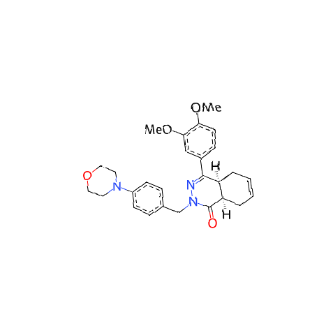 COc1ccc(C2=NN(Cc3ccc(N4CCOCC4)cc3)C(=O)[C@@H]3CC=CC[C@H]23)cc1OC